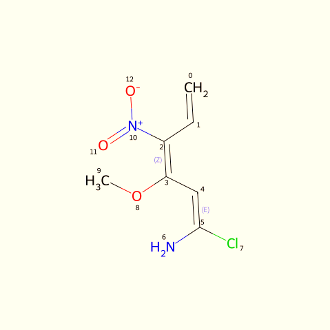 C=C/C(=C(\C=C(/N)Cl)OC)[N+](=O)[O-]